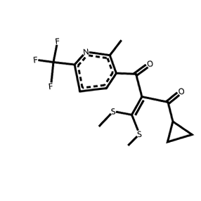 CSC(SC)=C(C(=O)c1ccc(C(F)(F)F)nc1C)C(=O)C1CC1